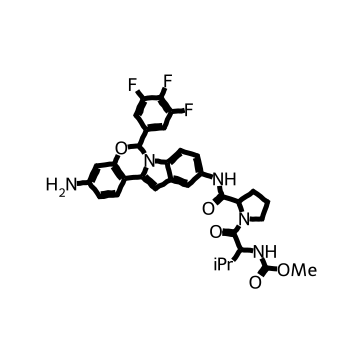 COC(=O)NC(C(=O)N1CCCC1C(=O)Nc1ccc2c(c1)cc1n2C(c2cc(F)c(F)c(F)c2)Oc2cc(N)ccc2-1)C(C)C